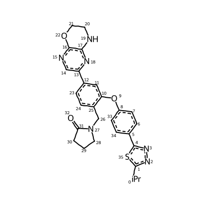 CC(C)c1nnc(-c2ccc(Oc3cc(-c4cnc5c(n4)NCCO5)ccc3CN3CCCC3=O)cc2)s1